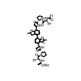 C=C(N[C@H](C(=O)N1CCC[C@H]1c1ncc(-c2ccc(-c3ccc(-c4cnc([C@@H]5CCCN5C(=O)[C@@H](NC(=O)CC)C(C)C)[nH]4)c4c3CC(C)=N4)c3nc(C)sc23)[nH]1)C(C)C)OC